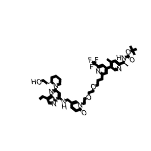 CCc1cnn2c(NCc3ccc(=O)n(CCOCCOCCCc4cc(-c5cnc([C@H](C)NC(=O)OC(C)(C)C)cc5C)cc(C(F)(F)F)n4)c3)cc(N3CCCC[C@H]3CCO)nc12